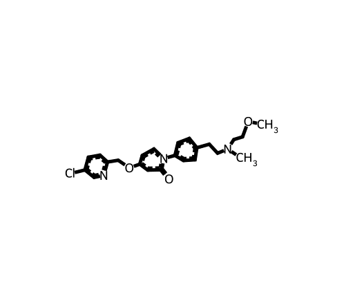 COCCN(C)CCc1ccc(-n2ccc(OCc3ccc(Cl)cn3)cc2=O)cc1